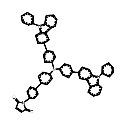 O=C1C=CC(=O)N1c1ccc(-c2ccc(N(c3ccc(-c4ccc5c(c4)c4ccccc4n5-c4ccccc4)cc3)c3ccc(-c4ccc5c(c4)c4ccccc4n5-c4ccccc4)cc3)cc2)cc1